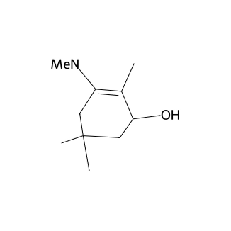 CNC1=C(C)C(O)CC(C)(C)C1